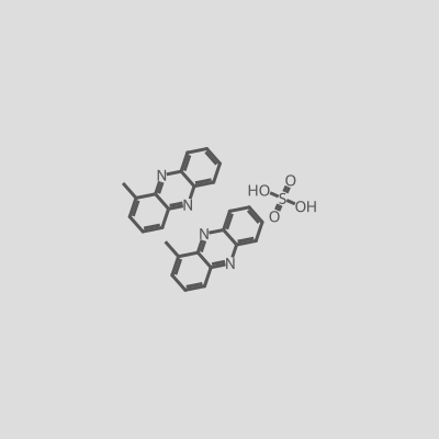 Cc1cccc2nc3ccccc3nc12.Cc1cccc2nc3ccccc3nc12.O=S(=O)(O)O